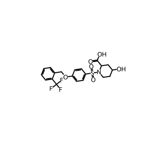 O=C(O)C1CC(O)CCN1S(=O)(=O)c1ccc(OCc2ccccc2C(F)(F)F)cc1